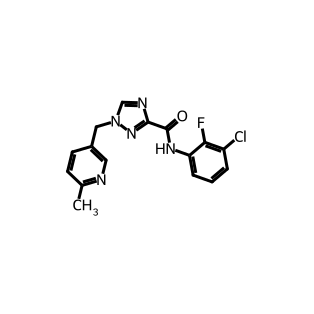 Cc1ccc(Cn2cnc(C(=O)Nc3cccc(Cl)c3F)n2)cn1